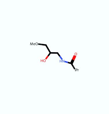 COCC(O)CNC(=O)C(C)C